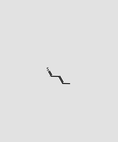 CC=C[C]=S